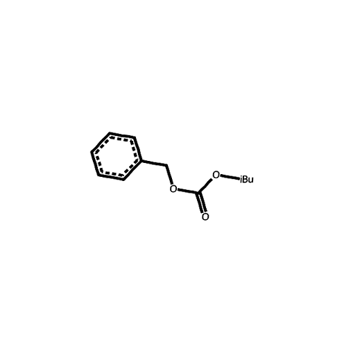 CCC(C)OC(=O)OCc1ccccc1